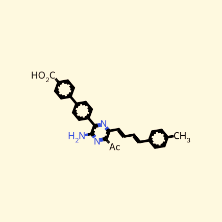 CC(=O)c1nc(N)c(-c2ccc(-c3ccc(C(=O)O)cc3)cc2)nc1/C=C/C=C/c1ccc(C)cc1